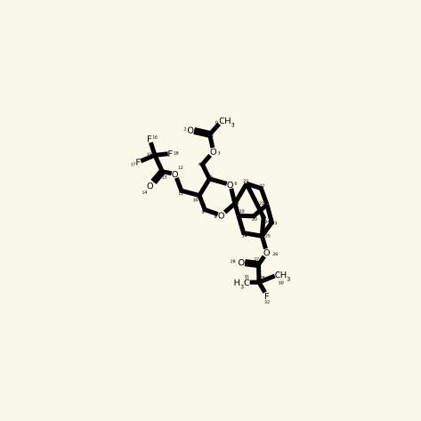 CC(=O)OCC1OC2(OCC1COC(=O)C(F)(F)F)C1CC3CC2CC(OC(=O)C(C)(C)F)(C3)C1